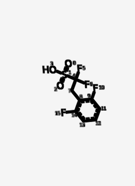 O=S(=O)(O)C(F)(F)Cc1c(F)cccc1F